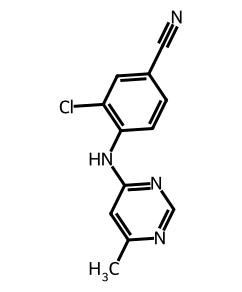 Cc1cc(Nc2ccc(C#N)cc2Cl)ncn1